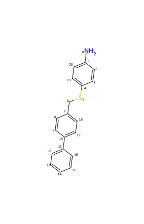 Nc1ccc(SCc2ccc(-c3ccccc3)cc2)cc1